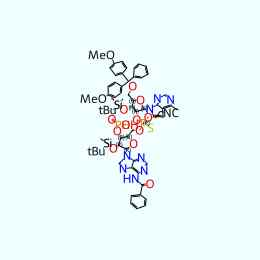 [C-]#[N+]CCO[P@@](=S)(OC[C@H]1O[C@@H](n2cnc3c(NC(=O)c4ccccc4)ncnc32)[C@H](O[Si](C)(C)C(C)(C)C)[C@@H]1O[PH](=O)O)O[C@@H]1[C@H](O[Si](C)(C)C(C)(C)C)[C@@H](COC(c2ccccc2)(c2ccc(OC)cc2)c2ccc(OC)cc2)O[C@H]1n1ccc2c(C)ncnc21